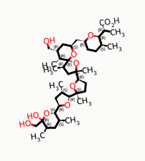 C[C@@H]1C[C@@](C)([C@H]2CC[C@@](C)([C@@H]3O[C@@H]([C@H]4O[C@@](O)(CO)[C@H](C)C[C@@H]4C)C[C@@H]3C)O2)O[C@]12O[C@H](C[C@H]1CC[C@H](C)[C@H]([C@@H](C)C(=O)O)O1)C[C@@H](CO)[C@H]2C